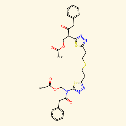 CCCC(=O)OCC(C(=O)Cc1ccccc1)c1nnc(CCSCCc2nnc(N(COC(=O)CCC)C(=O)Cc3ccccc3)s2)s1